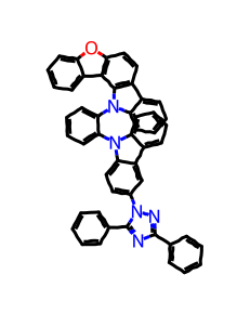 c1ccc(-c2nc(-c3ccccc3)n(-c3ccc4c(c3)c3ccccc3n4-c3ccccc3-n3c4ccccc4c4ccc5oc6ccccc6c5c43)n2)cc1